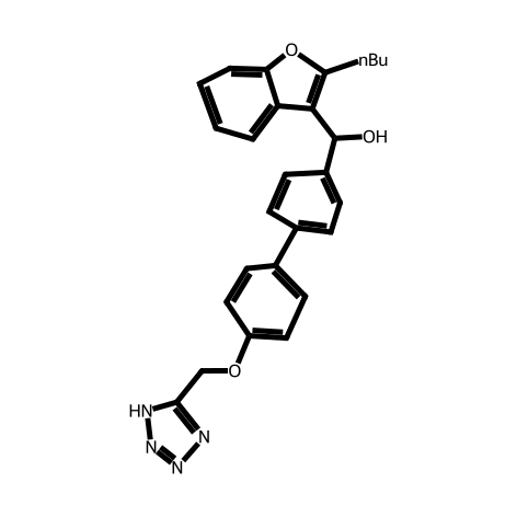 CCCCc1oc2ccccc2c1C(O)c1ccc(-c2ccc(OCc3nnn[nH]3)cc2)cc1